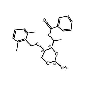 CCC[C@H]1OC[C@@H](OCc2c(C)cccc2C)[C@@H](C(C)OC(=O)c2ccccc2)O1